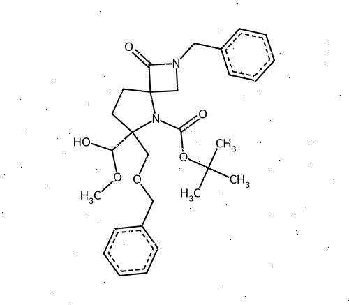 COC(O)C1(COCc2ccccc2)CCC2(CN(Cc3ccccc3)C2=O)N1C(=O)OC(C)(C)C